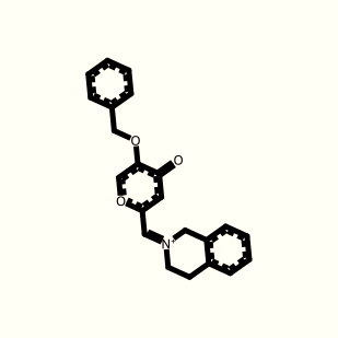 O=c1cc(C=[N+]2CCc3ccccc3C2)occ1OCc1ccccc1